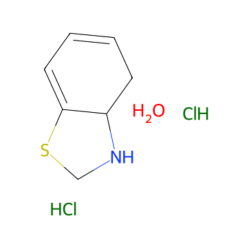 C1=CCC2NCSC2=C1.Cl.Cl.O